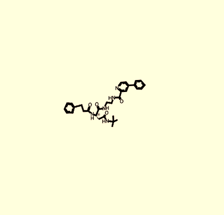 CC(C)(C)NC(=O)C[C@H](NC(=O)CCc1ccccc1)C(=O)NCCNC(=O)c1cc(-c2ccccc2)ccn1